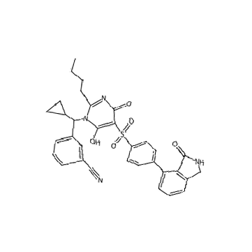 CCCCc1nc(=O)c(S(=O)(=O)c2ccc(-c3cccc4c3C(=O)NC4)cc2)c(O)n1C(c1cccc(C#N)c1)C1CC1